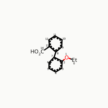 CCOc1ccccc1-c1ccccc1C(=O)O